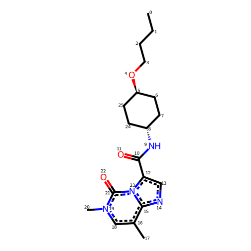 CCCCO[C@H]1CC[C@H](NC(=O)c2cnc3c(C)cn(C)c(=O)n23)CC1